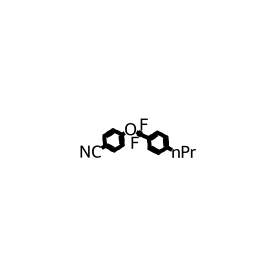 CCCc1ccc(C(F)(F)Oc2ccc(C#N)cc2)cc1